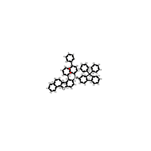 c1ccc(-c2ccc(N(c3ccc4c(c3)C(c3ccccc3)(c3ccccc3)c3ccccc3-4)c3ccc4oc5c6ccccc6ccc5c4c3-c3ccccc3)cc2)cc1